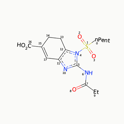 CCCCCS(=O)(=O)n1c(NC(=O)CC)nc2c1CCC(C(=O)O)=C2